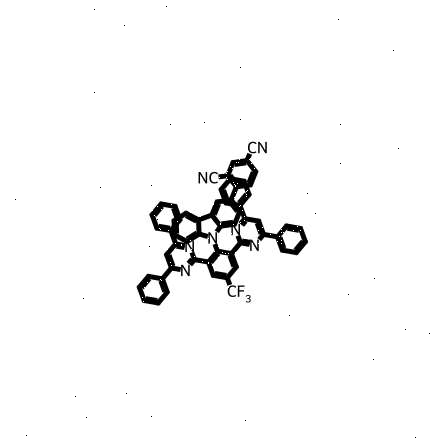 N#Cc1ccc(-c2ccc3c(c2)c2ccccc2n3-c2c(-c3nc(-c4ccccc4)cc(-c4ccccc4)n3)cc(C(F)(F)F)cc2-c2nc(-c3ccccc3)cc(-c3ccccc3)n2)c(C#N)c1